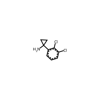 NC1(c2cccc(Cl)c2Cl)CC1